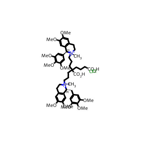 COc1cc2c(cc1OC)[C@H](c1cc(OC)c(OC)c(OC)c1)[N@@+](C)(CCCC(CCCC(=O)O)(CCC[N@@+]1(C)CCc3cc(OC)c(OC)cc3[C@H]1Cc1cc(OC)c(OC)c(OC)c1)C(=O)O)CC2.[Cl-].[Cl-]